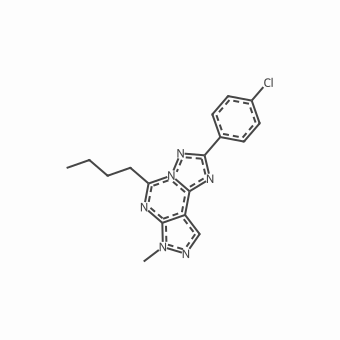 CCCCc1nc2c(cnn2C)c2nc(-c3ccc(Cl)cc3)nn12